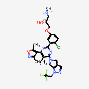 CNC[C@@H](O)COc1ccc(Cl)c(-c2nc(-c3c(C)noc3C)c(C)c(N3Cc4cnn(CC(F)(F)F)c4C3)n2)c1